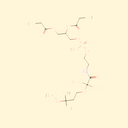 CCC(=O)OCC(COP(=O)(O)OCCNC(=O)C(C)(C)OCCC(C)(C)OC)OC(=O)CC